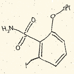 CCCOc1cccc(I)c1S(N)(=O)=O